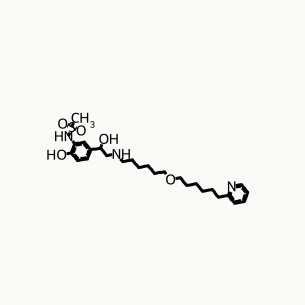 CS(=O)(=O)Nc1cc(C(O)CNCCCCCCOCCCCCCc2ccccn2)ccc1O